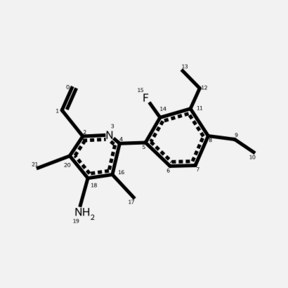 C=Cc1nc(-c2ccc(CC)c(CC)c2F)c(C)c(N)c1C